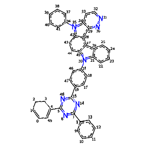 C1=CCCC(c2nc(-c3ccccc3)nc(-c3ccc(-n4c5ccccc5c5c6c7nnccc7n(-c7ccccc7)c6ccc54)cc3)n2)=C1